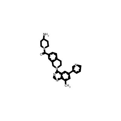 Cc1cc(-c2cccnc2)cc2c(N3CCc4ccc(C(=O)N5CCC(N)CC5)cc4C3)ncnc12